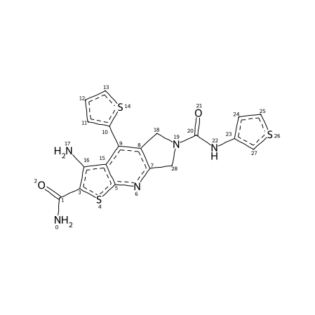 NC(=O)c1sc2nc3c(c(-c4cccs4)c2c1N)CN(C(=O)Nc1ccsc1)C3